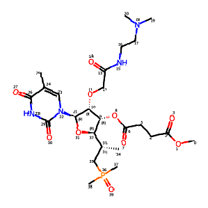 COC(=O)CCC(=O)O[C@H]1[C@@H](OCC(=O)NCCN(C)C)[C@H](n2cc(C)c(=O)[nH]c2=O)O[C@@H]1[C@H](C)CP(C)(C)=O